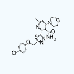 Cc1cc(N2CCOCC2)c(C(N)=O)c(-c2nnc(COc3ccc(Cl)cc3)s2)n1